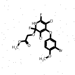 COC(=O)COC1(F)NC(F)=C(Cl)C(Oc2ccc(OC)c(Br)c2)=C1Cl